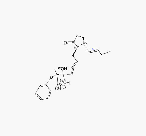 CC/C=C/[C@H]1CCC(=O)[C@@H]1CC=C=CC([16OH])([16OH])C(C)(Oc1ccccc1)C(=O)O